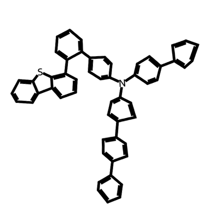 c1ccc(-c2ccc(-c3ccc(N(c4ccc(-c5ccccc5)cc4)c4ccc(-c5ccccc5-c5cccc6c5sc5ccccc56)cc4)cc3)cc2)cc1